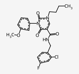 CCCCn1cc(C(=O)NCc2ccc(F)cc2Cl)c(=O)n(-c2cccc(OC)c2)c1=O